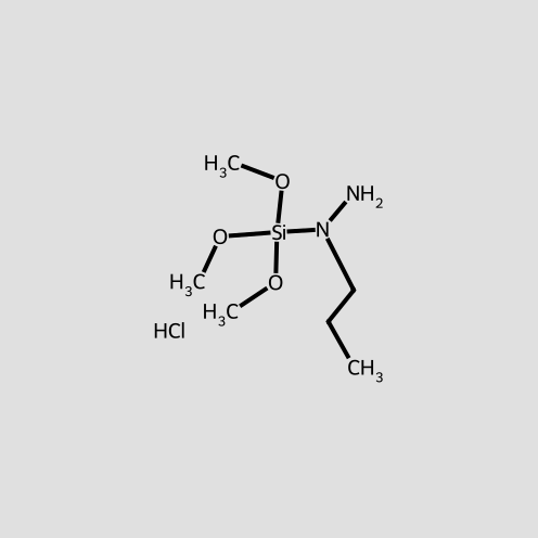 CCCN(N)[Si](OC)(OC)OC.Cl